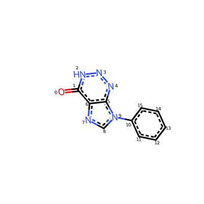 O=c1[nH]nnc2c1ncn2-c1ccccc1